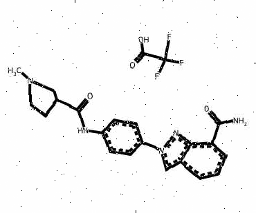 CN1CCC(C(=O)Nc2ccc(-n3cc4cccc(C(N)=O)c4n3)cc2)C1.O=C(O)C(F)(F)F